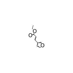 CCOC(=O)C=Cc1ccoc1